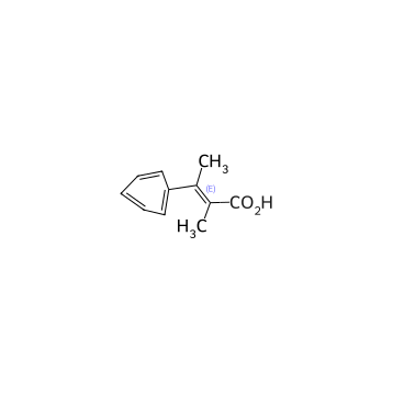 C/C(C(=O)O)=C(/C)c1ccccc1